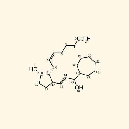 O=C(O)CCC/C=C\C[C@H]1[C@@H](O)CC[C@@H]1/C=C/C(O)C1CCCCCC1